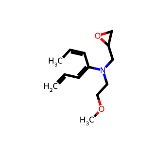 C=C/C=C(\C=C/C)N(CCOC)CC1CO1